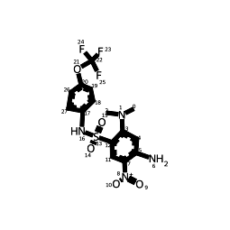 CN(C)c1cc(N)c([N+](=O)[O-])cc1S(=O)(=O)Nc1ccc(OC(F)(F)F)cc1